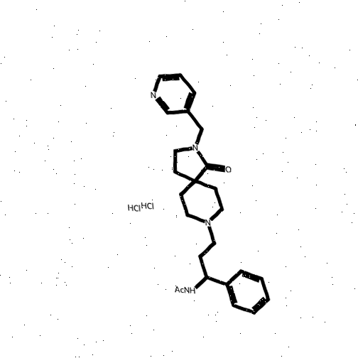 CC(=O)NC(CCN1CCC2(CC1)CCN(Cc1cccnc1)C2=O)c1ccccc1.Cl.Cl